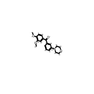 COc1ccc(C(=O)c2cccc(N3CCOCC3)c2)cc1OC